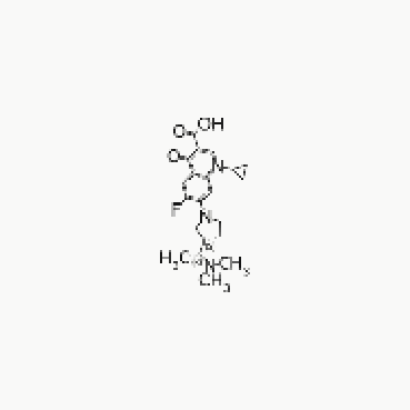 C[C@H]([C@H]1CCN(c2cc3c(cc2F)c(=O)c(C(=O)O)cn3C2CC2)C1)N(C)C